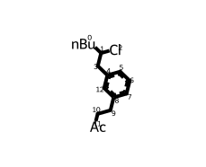 CCCCC(Cl)Cc1cccc(CCC(C)=O)c1